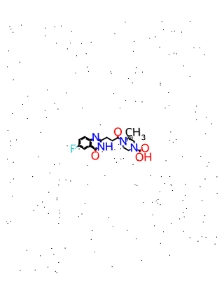 C[C@H]1CN(C(=O)O)CCN1C(=O)CCc1nc2ccc(F)cc2c(=O)[nH]1